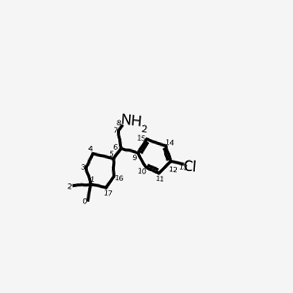 CC1(C)CCC(C(CN)c2ccc(Cl)cc2)CC1